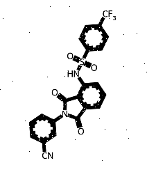 N#Cc1cccc(N2C(=O)c3cccc(NS(=O)(=O)c4ccc(C(F)(F)F)cc4)c3C2=O)c1